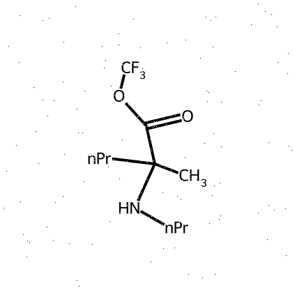 CCCNC(C)(CCC)C(=O)OC(F)(F)F